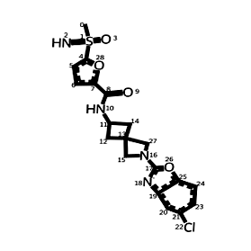 CS(=N)(=O)c1ccc(C(=O)NC2CC3(C2)CN(c2nc4cc(Cl)ccc4o2)C3)o1